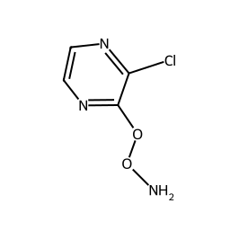 NOOc1nccnc1Cl